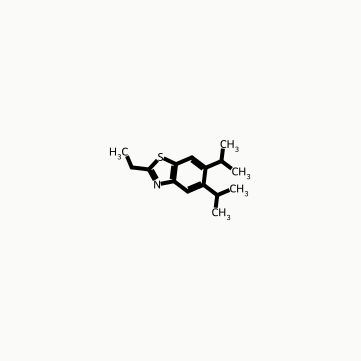 CCc1nc2cc(C(C)C)c(C(C)C)cc2s1